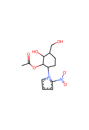 CC(=O)OC1C(O)C(CO)CCC1n1cccc1[N+](=O)[O-]